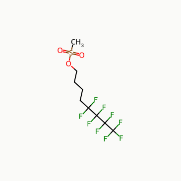 CS(=O)(=O)OCCCCC(F)(F)C(F)(F)C(F)(F)C(F)(F)F